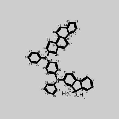 CC1(C)c2ccccc2-c2ccc(N(c3ccccc3)c3ccc(N(c4ccccc4)c4ccc5c(ccc6c7ccccc7ccc56)c4)cc3)cc21